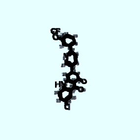 O=C1CC(c2ccc(-c3cccc(OC(F)(F)F)c3)nc2)Cc2[nH]c3ccc(Cl)cc3c(=O)c21